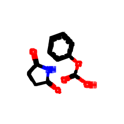 O=C(O)Oc1ccccc1.O=C1CCC(=O)N1